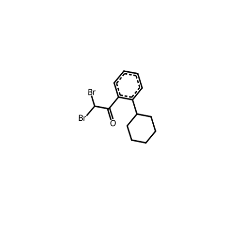 O=C(c1ccccc1C1CCCCC1)C(Br)Br